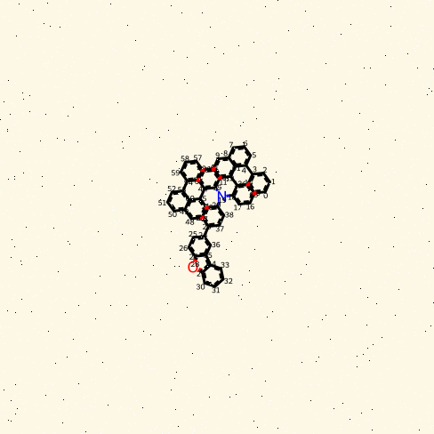 c1ccc(-c2cccc3cccc(-c4ccccc4N(c4ccc(-c5ccc6oc7ccccc7c6c5)cc4)c4ccccc4-c4cccc5cccc(-c6ccccc6)c45)c23)cc1